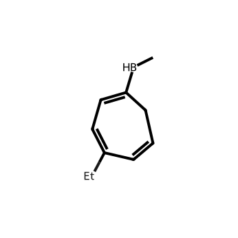 CBC1=CC=C(CC)C=CC1